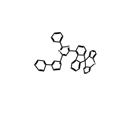 c1ccc(-c2cccc(-c3cc(-c4cccc5c4-c4ccccc4C54c5ccccc5Sc5ccccc54)nc(-c4ccccc4)n3)c2)cc1